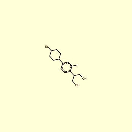 CCC1CCC(c2ccc(C(CO)CO)c(F)c2)CC1